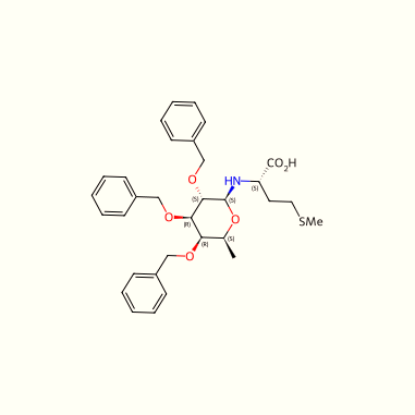 CSCC[C@H](N[C@H]1O[C@@H](C)[C@@H](OCc2ccccc2)[C@@H](OCc2ccccc2)[C@@H]1OCc1ccccc1)C(=O)O